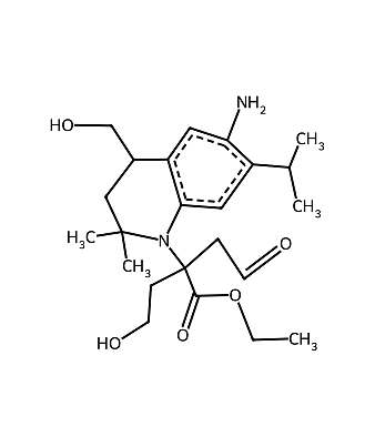 CCOC(=O)C(CC=O)(CCO)N1c2cc(C(C)C)c(N)cc2C(CO)CC1(C)C